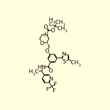 Cc1cnc(-c2cc(OC[C@@H]3CN(C(=O)OC(C)(C)C)CCO3)cc(C(=O)NC(C)c3ccc(C(F)(F)F)nc3)c2)s1